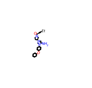 CCC#CC(=O)N1CC[C@@H](N2C=C(N)N(c3ccc(Oc4ccccc4)cc3)C2)C1